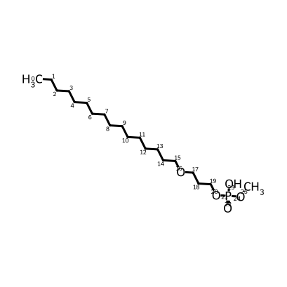 CCCCCCCCCCCCCCCCOCCCOP(=O)(O)OC